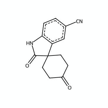 N#Cc1ccc2c(c1)C1(CCC(=O)CC1)C(=O)N2